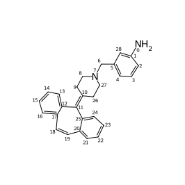 Nc1cccc(CN2CCC(=C3c4ccccc4C=Cc4ccccc43)CC2)c1